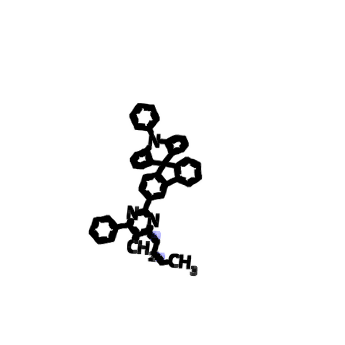 C=c1c(-c2ccccc2)nc(-c2ccc3c(c2)-c2ccccc2C32c3ccccc3N(c3ccccc3)c3ccccc32)n/c1=C/C=C\C